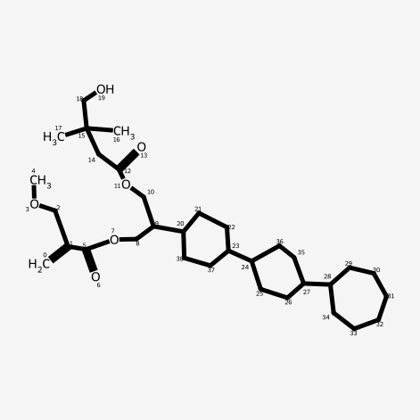 C=C(COC)C(=O)OCC(COC(=O)CC(C)(C)CO)C1CCC(C2CCC(C3CCCCCC3)CC2)CC1